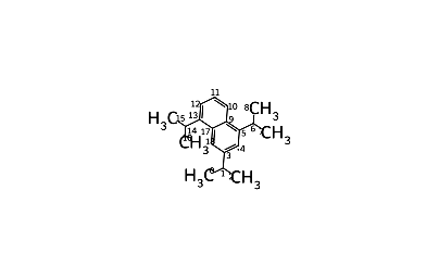 CC(C)c1[c]c(C(C)C)c2cccc(C(C)C)c2c1